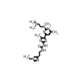 CCn1cnc(CCNC(=O)Nc2nc(C)c(-c3cc(C)nc(N(C)CCN(C)C)n3)s2)c1